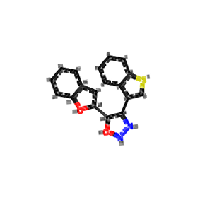 [c]1sc2ccccc2c1-c1nnoc1-c1cc2ccccc2o1